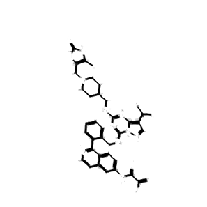 C=C(F)C(=O)Nc1ccc2c(-c3ccccc3CNc3nc(NCC4CCN(Cc5oc(=O)oc5C)CC4)nc4c(C(C)C)cnn34)nccc2c1